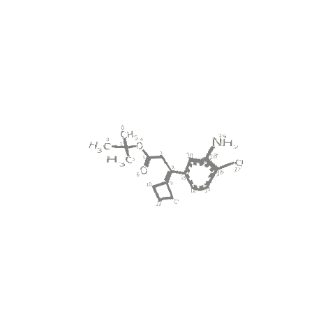 CC(C)(C)OC(=O)CC(=C1CCC1)c1ccc(Cl)c(N)c1